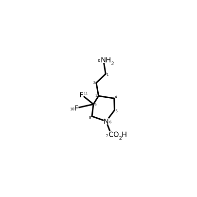 NCCC1CCN(C(=O)O)CC1(F)F